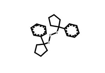 c1ccc(C2(SOSC3(c4ccccc4)CCCC3)CCCC2)cc1